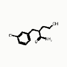 NC(=O)C(CCO)Cc1cccc(Cl)c1